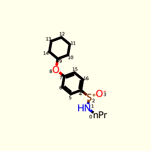 CCCN[S+]([O-])c1ccc(OC2CCCCC2)cc1